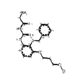 CCOCCCOc1ccnc(OC(=O)NC(=O)CN)c1OCc1ccccc1